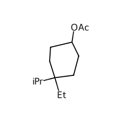 CCC1(C(C)C)CCC(OC(C)=O)CC1